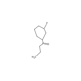 CCC[P](=O)C1CCCC(F)C1